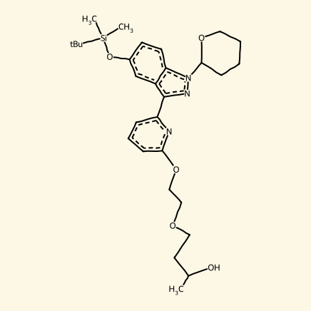 CC(O)CCOCCOc1cccc(-c2nn(C3CCCCO3)c3ccc(O[Si](C)(C)C(C)(C)C)cc23)n1